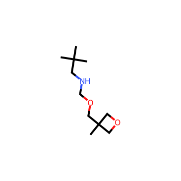 CC(C)(C)CNCOCC1(C)COC1